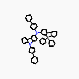 c1ccc(-c2ccc(N(c3ccc4c(c3)[Si](c3ccccc3)(c3ccccc3)c3ccccc3-4)c3ccc4c(c3)c3ccccc3n4-c3ccc(-c4ccccc4)cc3)cc2)cc1